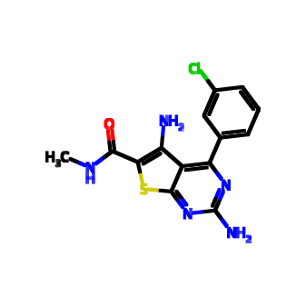 CNC(=O)c1sc2nc(N)nc(-c3cccc(Cl)c3)c2c1N